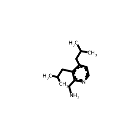 CC(C)Cc1ccnc(CN)c1CC(C)C